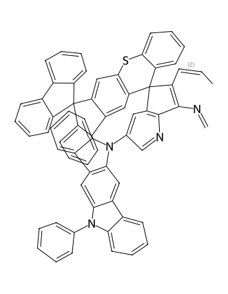 C=NC1=C(/C=C\C)C2(c3ccccc3Sc3cc4c(cc32)-c2ccccc2C42c3ccccc3-c3ccccc32)c2cc(-n3c4ccccc4c4cc5c(cc43)c3ccccc3n5-c3ccccc3)cnc21